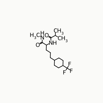 CNC(=O)C(CCCC1CCC(C(F)(F)F)CC1)NC(=O)C(C)C